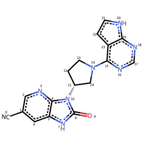 N#Cc1cnc2c(c1)[nH]c(=O)n2[C@@H]1CCN(c2ncnc3[nH]ccc23)C1